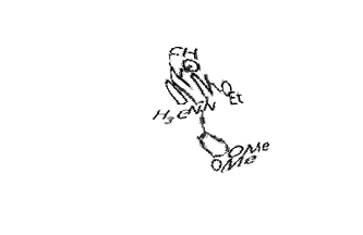 C#CCn1c(=O)c2c(nc(C#Cc3ccc(OC)c(OC)c3)n2C)n(CCOCC)c1=O